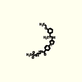 CCOc1cccc([C@@H](C)N[C@H]2CC[C@@H](c3ccc(C(=O)NCCNS(C)(=O)=O)cc3)C2)c1